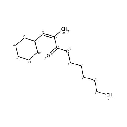 CCCCCCOC(=O)C(C)=CC1CCCCC1